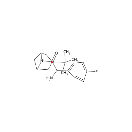 CC(C)(C)N1CC2CC(C1)N2C(=O)C(N)c1ccc(F)cc1